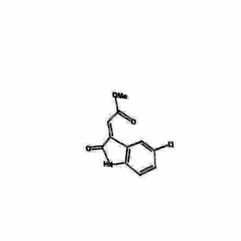 COC(=O)/C=C1/C(=O)Nc2ccc(Cl)cc21